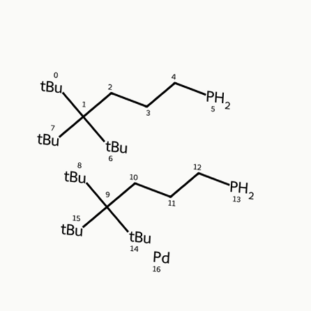 CC(C)(C)C(CCCP)(C(C)(C)C)C(C)(C)C.CC(C)(C)C(CCCP)(C(C)(C)C)C(C)(C)C.[Pd]